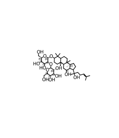 CC(C)=CCCC(C)(O)C1CC[C@@]2(C)C1[C@@H](O)CC1[C@]3(C)CCC(O[C@@H]4O[C@H](CO)[C@@H](O)[C@H](O)[C@H]4OC4O[C@H](CO)[C@@H](O)[C@H](O)[C@H]4O)C(C)(C)C3CC[C@@]12C